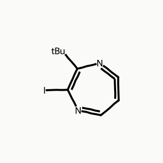 CC(C)(C)C1=C(I)N=CC=C=N1